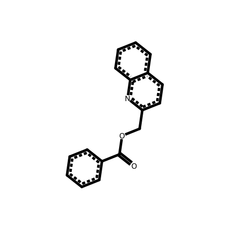 O=C(OCc1ccc2ccccc2n1)c1ccccc1